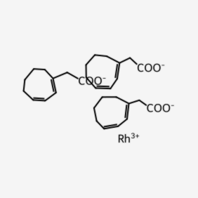 O=C([O-])CC1=CC=CCCCC1.O=C([O-])CC1=CC=CCCCC1.O=C([O-])CC1=CC=CCCCC1.[Rh+3]